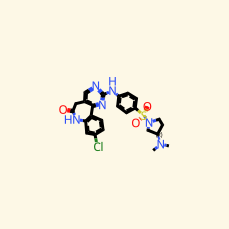 CN(C)[C@@H]1CCN(S(=O)(=O)c2ccc(Nc3ncc4c(n3)-c3ccc(Cl)cc3NC(=O)C4)cc2)C1